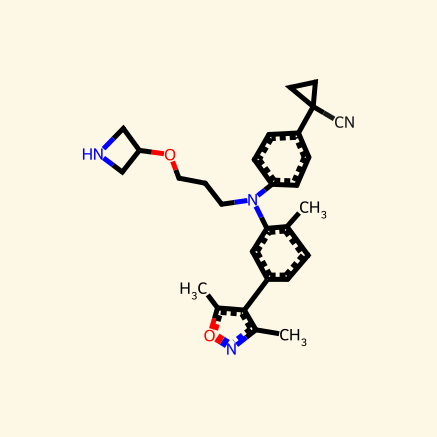 Cc1ccc(-c2c(C)noc2C)cc1N(CCCOC1CNC1)c1ccc(C2(C#N)CC2)cc1